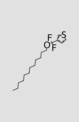 CCCCCCCCCCCCOC(F)(F)c1ccsc1